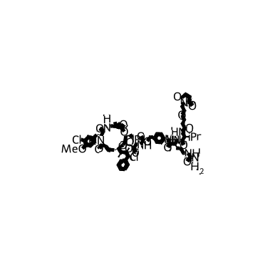 COc1ccc(C[C@H]2NC(=O)/C=C/C[C@@H]([C@H](C)[C@@H](OC(=O)CNC(=O)OCc3ccc(NC(=O)[C@H](CCCNC(N)=O)NC(=O)[C@@H](NC(=O)CCOCCN4C(=O)C=CC4=O)C(C)C)cc3)[C@@H](Cl)c3ccccc3)OC(=O)[C@H](CC(C)C)OC(=O)C(C)(C)CNC2=O)cc1Cl